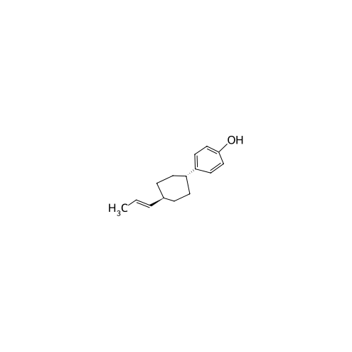 C/C=C/[C@H]1CC[C@H](c2ccc(O)cc2)CC1